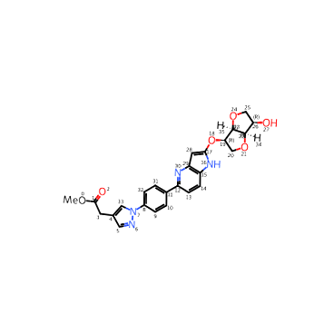 COC(=O)Cc1cnn(-c2ccc(-c3ccc4[nH]c(O[C@@H]5CO[C@H]6[C@@H]5OC[C@H]6O)cc4n3)cc2)c1